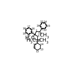 CC(CC(C)(CC(C)(C)C1CCCCC1)c1ccccc1)c1ccccc1